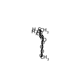 COCCOCCOCCOCC(=O)N1CCN(C(=O)OC(C)(C)C)CC1